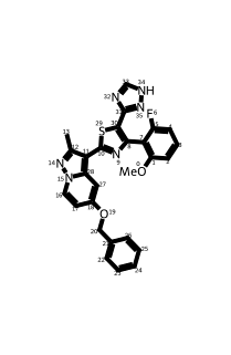 COc1cccc(F)c1-c1nc(-c2c(C)nn3ccc(OCc4ccccc4)cc23)sc1-c1nc[nH]n1